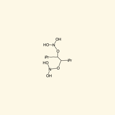 CC(C)C(ON(O)O)C(ON(O)O)C(C)C